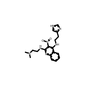 CN(C)CCNc1nc2ccccc2c(NCCc2c[nH]cn2)c1[N+](=O)[O-]